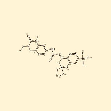 CCN1Cc2ccc(NC(=O)/C=C3\CC(CC)(CC)Oc4cc(C(F)(F)F)ccc43)cc2N(C)C1=O